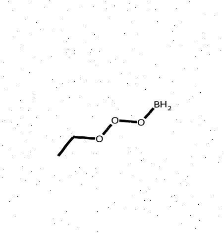 BOOOCC